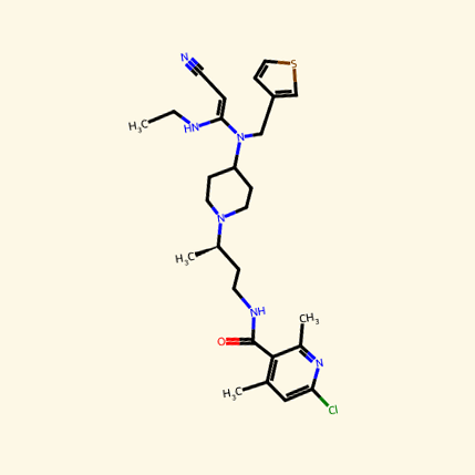 CCNC(=CC#N)N(Cc1ccsc1)C1CCN([C@H](C)CCNC(=O)c2c(C)cc(Cl)nc2C)CC1